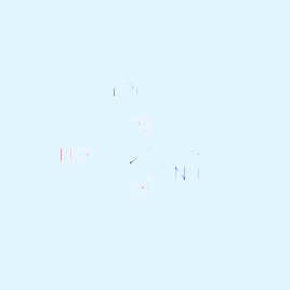 C=CC[C@@]1(O)C[C@H](CCC)O[C@@]2(C1)C(=O)Nc1ccccc12